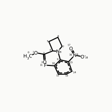 COC(=O)C1CCCN1c1c(F)cccc1[N+](=O)[O-]